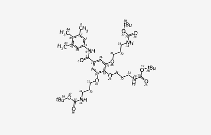 Cc1cc(NC(=O)c2cc(OCCCNC(=O)OC(C)(C)C)c(OCCCNC(=O)OC(C)(C)C)c(OCCCNC(=O)OC(C)(C)C)c2)cc(C)c1C